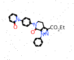 CCOC(=O)c1nn(-c2ccccc2)c2c1CCN(c1ccc(-n3ccccc3=O)cc1)C2=O